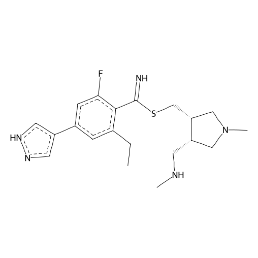 CCc1cc(-c2cn[nH]c2)cc(F)c1C(=N)SC[C@@H]1CN(C)C[C@@H]1CNC